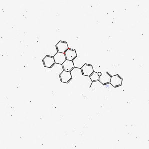 C=c1cccc/c1=C/c1oc2ccc(-c3c4ccccc4c(-c4ccccc4-c4ccccc4)c4ccccc34)cc2c1C